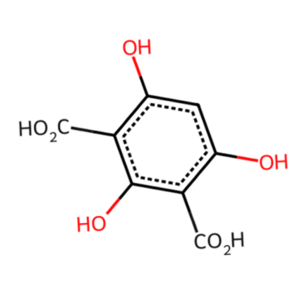 O=C(O)c1c(O)cc(O)c(C(=O)O)c1O